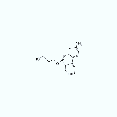 Nc1ccc2c(c1)nc(OCCCO)c1ccccc12